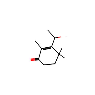 CC1=C(C(C)O)C(C)(C)CCC1=O